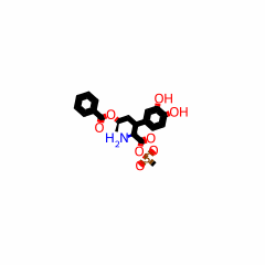 C[C@H](CC(c1ccc(O)c(O)c1)[C@H](N)C(=O)OS(C)(=O)=O)OC(=O)c1ccccc1